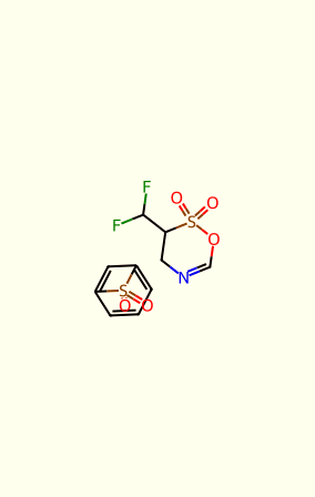 O=S1(=O)OC=NCC1C(F)F.O=S1(=O)c2cccc1c2